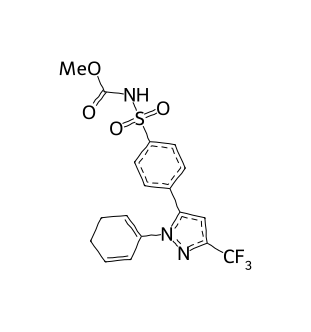 COC(=O)NS(=O)(=O)c1ccc(-c2cc(C(F)(F)F)nn2C2=CCCC=C2)cc1